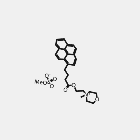 COS(=O)(=O)[O-].C[N+]1(CCOC(=O)CCCc2ccc3ccc4cccc5ccc2c3c45)CCOCC1